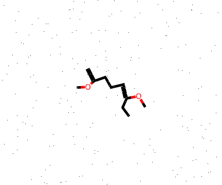 C=C(CC/C=C(\CC)OC)OC